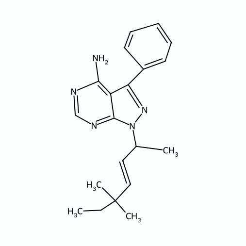 CCC(C)(C)/C=C/C(C)n1nc(-c2ccccc2)c2c(N)ncnc21